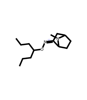 CCCC(CCC)O/N=C1/CC2CCC1N2C